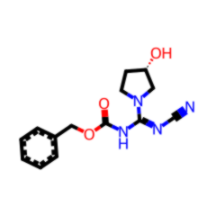 N#C/N=C(/NC(=O)OCc1ccccc1)N1CC[C@H](O)C1